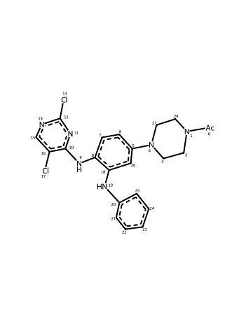 CC(=O)N1CCN(c2ccc(Nc3nc(Cl)ncc3Cl)c(Nc3ccccc3)c2)CC1